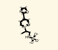 CC(CNS(=O)(=O)[O-])[n+]1ccc(-c2ncco2)cn1